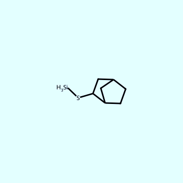 [SiH3]SC1CC2CCC1C2